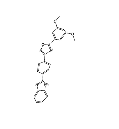 COc1cc(OC)cc(-c2nc(-c3ccc(-c4nc5ccccc5[nH]4)cc3)no2)c1